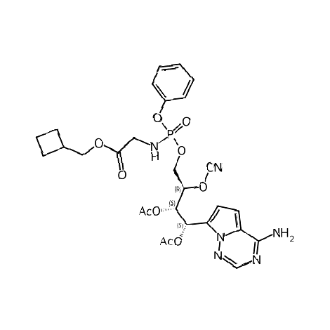 CC(=O)O[C@H]([C@@H](COP(=O)(NCC(=O)OCC1CCC1)Oc1ccccc1)OC#N)[C@@H](OC(C)=O)c1ccc2c(N)ncnn12